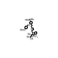 CCCCN(CCCC)c1ccc(/C=C/c2ccc(/C=C/C3=C(C#N)C(=C(C#N)C#N)OC3(c3ccccc3)C(F)(F)F)s2)c(OCc2ccc(OC)cc2)c1